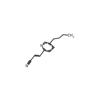 CCCCc1ccc(/C=C/C#N)nc1